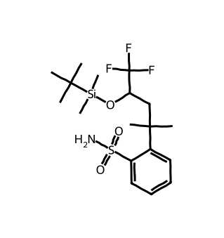 CC(C)(CC(O[Si](C)(C)C(C)(C)C)C(F)(F)F)c1ccccc1S(N)(=O)=O